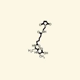 C[C@H](NC(=O)[C@H](C)NC(=O)CCCCC(=O)NCCN1C(=O)C=CC1=O)C(=O)O